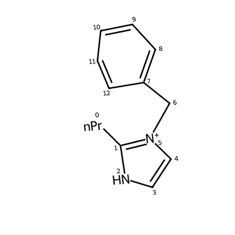 CCCc1[nH]cc[n+]1Cc1ccccc1